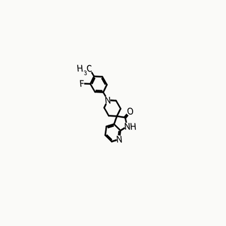 Cc1ccc(N2CCC3(CC2)C(=O)Nc2ncccc23)cc1F